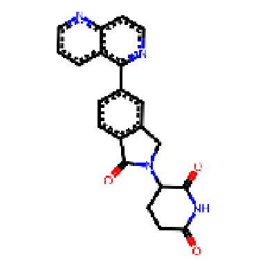 O=C1CCC(N2Cc3cc(-c4nccc5ncccc45)ccc3C2=O)C(=O)N1